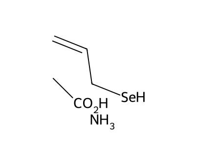 C=CC[SeH].CC(=O)O.N